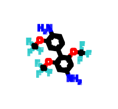 Nc1cc(OC(F)(F)F)c(-c2ccc(N)c(OC(F)(F)F)c2)c(OC(F)(F)F)c1